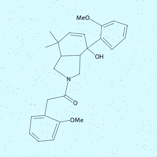 COc1ccccc1CC(=O)N1CC2C(C1)C(O)(c1ccccc1OC)C=CC2(C)C